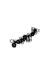 [C-]#[N+]C(=C1CCN(C(=O)C(=O)c2c[nH]c3c(NC(=O)Nc4ccc(S(=O)(=O)N(CC)CC)cc4)cccc23)CC1)c1ccccc1